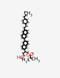 C=C(C)C(=O)OCC(CCO)c1ccc2cc(-c3ccc4cc(CCC5CCC(CCC)CC5)ccc4c3)ccc2c1